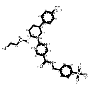 CCS(=O)(=O)c1ccc(CNC(=O)c2cnc(N3CC(c4ccc(C(F)(F)F)cc4)CC[C@H]3COCCF)nc2)cc1